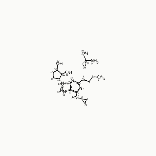 CCCSc1nc(NC2CC2)c2nnn([C@@H]3CC[C@@H](O)[C@H]3O)c2n1.NC(=O)O